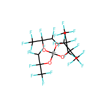 FC(F)C(F)(O[B-](OC(F)(C(F)F)C(F)(F)F)(OC(F)(C(F)F)C(F)(F)F)OC(F)(C(F)F)C(F)(F)F)C(F)(F)F